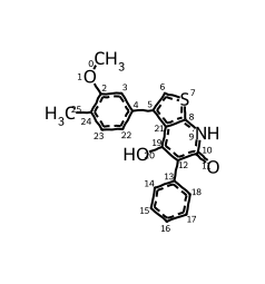 COc1cc(-c2csc3[nH]c(=O)c(-c4ccccc4)c(O)c23)ccc1C